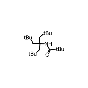 CC(C)(C)CC(CC(C)(C)C)(CC(C)(C)C)NC(=O)C(C)(C)C